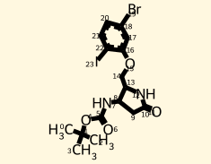 CC(C)(C)OC(=O)NC1CC(=O)NC1COc1cc(Br)ccc1I